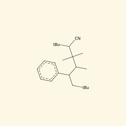 CC(C(CC(C)(C)C)c1ccccc1)C(C)(C)C(C#N)C(C)(C)C